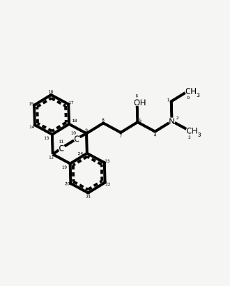 CCN(C)CC(O)CCC12CCC(c3ccccc31)c1ccccc12